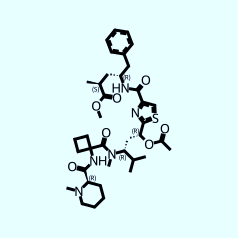 COC(=O)[C@@H](C)C[C@H](Cc1ccccc1)NC(=O)c1csc([C@@H](C[C@H](C(C)C)N(C)C(=O)C2(NC(=O)[C@H]3CCCCN3C)CCC2)OC(C)=O)n1